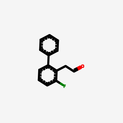 O=CCc1c(F)cccc1-c1ccccc1